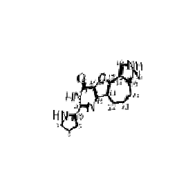 O=c1[nH]c([C@H]2CCCN2)nc2c3c(oc12)-c1c[nH]nc1CCC3